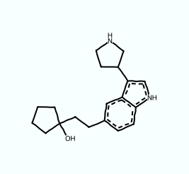 OC1(CCc2ccc3[nH]cc(C4CCNC4)c3c2)CCCC1